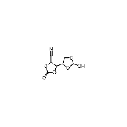 N#CC1OC(=O)OC1C1COC(O)O1